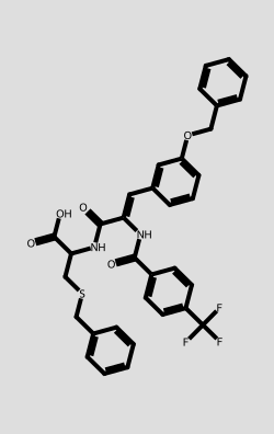 O=C(NC(CSCc1ccccc1)C(=O)O)C(=Cc1cccc(OCc2ccccc2)c1)NC(=O)c1ccc(C(F)(F)F)cc1